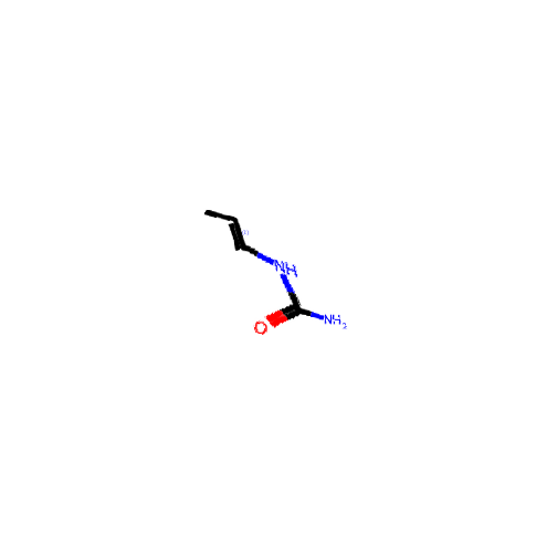 C/C=C/NC(N)=O